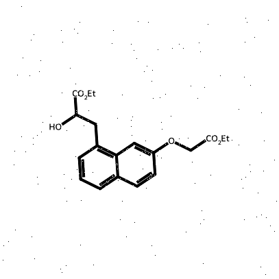 CCOC(=O)COc1ccc2cccc(CC(O)C(=O)OCC)c2c1